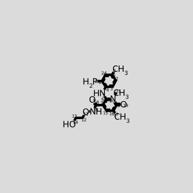 Cc1ccc(Nc2c(C(=O)NOCCO)cc(C)c(=O)n2C)c(P)c1